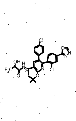 CC1(C)C[C@@H](NC(=O)C(O)C(F)(F)F)c2cc(-c3ccc(Cl)cc3)c(-c3ccc(-c4nnco4)cc3Cl)nc2O1